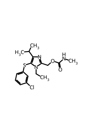 CCn1c(COC(=O)NC)nc(C(C)C)c1Sc1cccc(Cl)c1